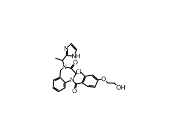 CC(c1ncc[nH]1)N1Cc2ccccc2N(C(=O)c2ccc(OCCO)cc2Cl)CC1=O